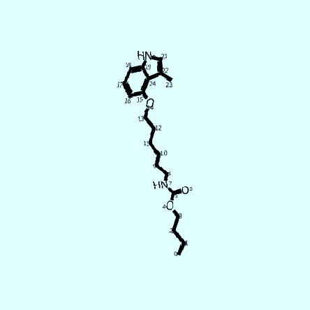 CCCCOC(=O)NCCCCCCOc1cccc2[nH][c]c(C)c12